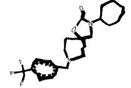 O=C1OC2(CCN(Cc3ccc(C(F)(F)F)cc3)CC2)CN1C1CCCCC1